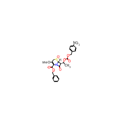 COC1=C(C(=O)OCc2ccccc2)N2C(=O)[C@H](C(C)OC(=O)OCc3ccc([N+](=O)[O-])cc3)[C@H]2[S+]([O-])C1